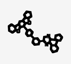 c1cc(-c2ccc(-c3c4oc5ccccc5c4cc4c3oc3ccccc34)cc2)cc(-c2cnc3c4ccccc4c4ccccc4c3n2)c1